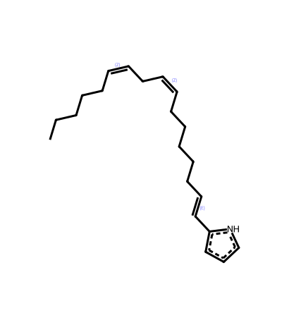 CCCCC/C=C\C/C=C\CCCCC/C=C/c1ccc[nH]1